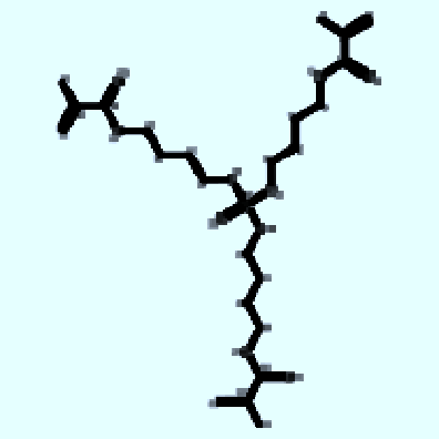 C=C(C)C(=O)OCCCCOP(=O)(OCCCCOC(=O)C(=C)C)OCCCCOC(=O)C(=C)C